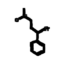 CC(C)C(CC[S+](C)[O-])c1ccccc1